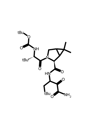 CC(C)(C)CC(NC(=O)[C@@H]1C2C(CN1C(=O)[C@@H](NC(=O)OC(C)(C)C)C(C)(C)C)C2(C)C)C(=O)C(N)=O